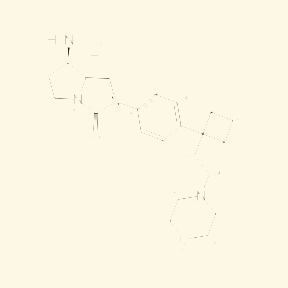 N[C@@H]1CCN2C(=O)N(c3ccc(C4(CCN5CCOCC5)CCC4)cc3)C[C@H]12